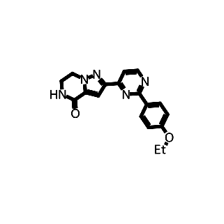 CCOc1ccc(-c2nccc(-c3cc4n(n3)CCNC4=O)n2)cc1